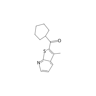 Cc1c(C(=O)C2CCCCC2)sc2ncccc12